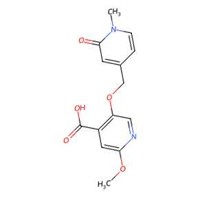 COc1cc(C(=O)O)c(OCc2ccn(C)c(=O)c2)cn1